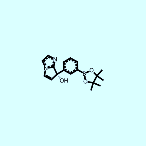 CC1(C)OB(c2cccc([C@@]3(O)C=Cn4ccnc43)c2)OC1(C)C